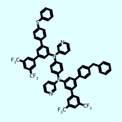 FC(F)(F)c1cc(-c2cc(-c3ccc(Cc4ccccc4)cc3)cc(N(c3ccc(N(c4cccnc4)c4cc(-c5ccc(Sc6ccccc6)cc5)cc(-c5cc(C(F)(F)F)cc(C(F)(F)F)c5)c4)cc3)c3cccnc3)c2)cc(C(F)(F)F)c1